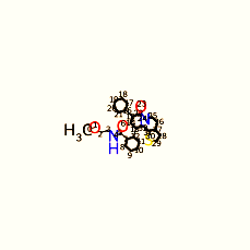 COCCNC(=O)c1ccccc1-c1cc(-c2ccccc2)c(=O)n2ccc3ccsc3c12